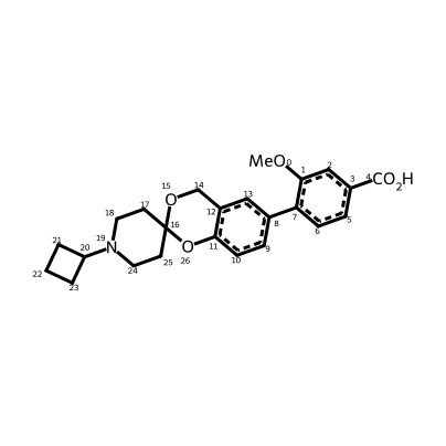 COc1cc(C(=O)O)ccc1-c1ccc2c(c1)COC1(CCN(C3CCC3)CC1)O2